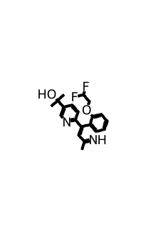 CC(=N)/C=C(/c1ccc(C(C)(C)O)cn1)c1ccccc1OCC(F)F